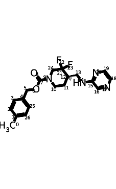 Cc1ccc(COC(=O)N2CC[C@H](CNc3cnccn3)C(F)(F)C2)cc1